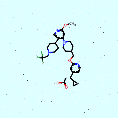 COc1cc(N2CCC(COc3cc([C@@H](CC(=O)O)C4CC4)ccn3)CC2)c(C2CCN(CC(F)(F)F)CC2)cn1